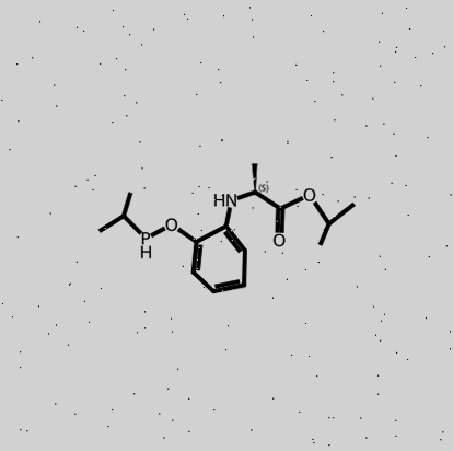 CC(C)OC(=O)[C@H](C)Nc1ccccc1OPC(C)C